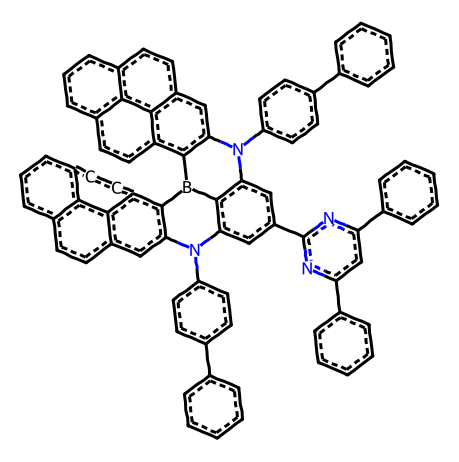 c1ccc(-c2ccc(N3c4cc(-c5nc(-c6ccccc6)cc(-c6ccccc6)n5)cc5c4B(c4c3cc3ccc6cccc7ccc4c3c67)c3c(cc4ccc6cccc7ccc3c4c67)N5c3ccc(-c4ccccc4)cc3)cc2)cc1